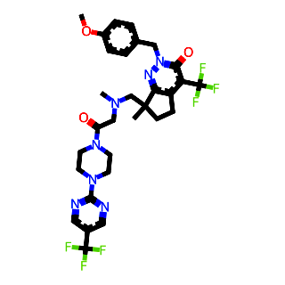 COc1ccc(Cn2nc3c(c(C(F)(F)F)c2=O)CCC3(C)CN(C)CC(=O)N2CCN(c3ncc(C(F)(F)F)cn3)CC2)cc1